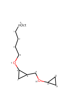 [CH2]CCCCCCCCCCCOC1CC1COC1[CH]C1